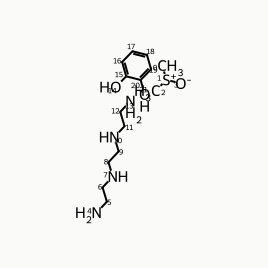 C[S+](C)[O-].NCCNCCNCCN.Oc1ccccc1O